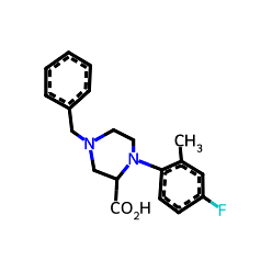 Cc1cc(F)ccc1N1CCN(Cc2ccccc2)CC1C(=O)O